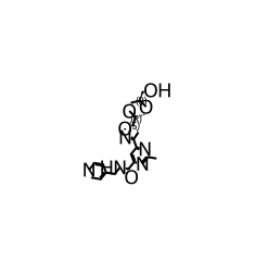 Cc1nc(C(=O)NCc2ccncc2)cc(C2=NO[C@H]([C@H]3CO[C@H](CO)CO3)C2)n1